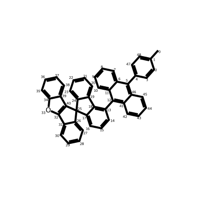 Cc1ccc(-c2c3ccccc3c(-c3cccc4c3-c3ccccc3C43c4ccccc4-c4oc5ccccc5c43)c3ccccc23)cc1